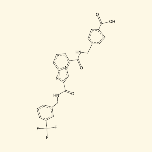 O=C(O)c1ccc(CNC(=O)c2cccc3nc(C(=O)NCc4cccc(C(F)(F)F)c4)cn23)cc1